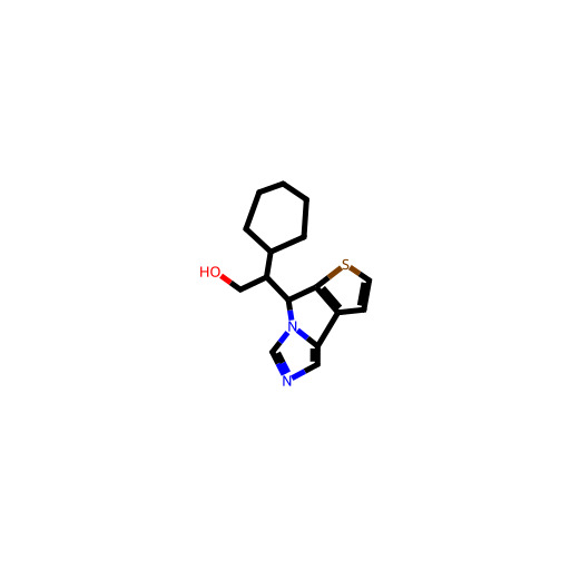 OCC(C1CCCCC1)C1c2sccc2-c2cncn21